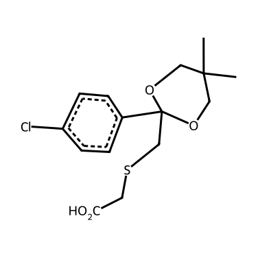 CC1(C)COC(CSCC(=O)O)(c2ccc(Cl)cc2)OC1